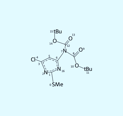 CSc1nc(Cl)cc(N(C(=O)OC(C)(C)C)C(=O)OC(C)(C)C)n1